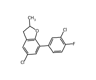 CC1Cc2cc(Cl)cc(-c3ccc(F)c(Cl)c3)c2O1